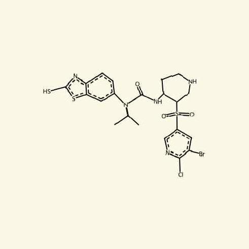 CC(C)N(C(=O)NC1CCNCC1S(=O)(=O)c1cnc(Cl)c(Br)c1)c1ccc2nc(S)sc2c1